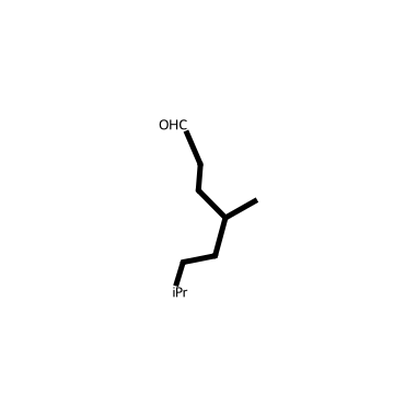 CC(C)CCC(C)CCC=O